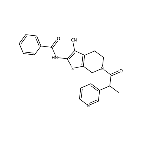 CC(C(=O)N1CCc2c(sc(NC(=O)c3ccccc3)c2C#N)C1)c1cccnc1